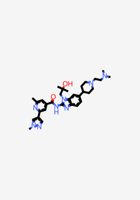 Cc1cc(C(=O)Nc2nc3ccc(C4CCN(CCN(C)C)CC4)cc3n2CC(C)(C)O)cc(-c2cnn(C)c2)n1